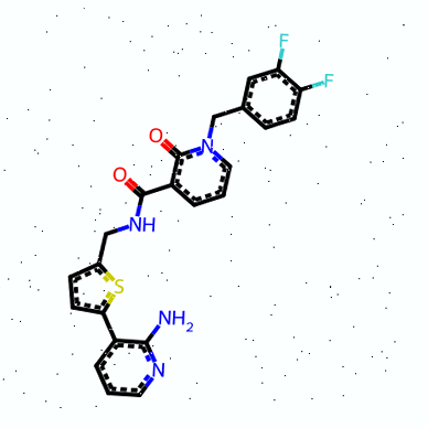 Nc1ncccc1-c1ccc(CNC(=O)c2cccn(Cc3ccc(F)c(F)c3)c2=O)s1